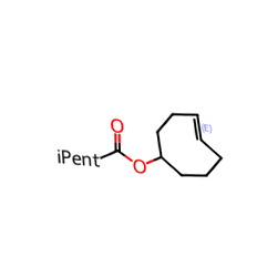 CCCC(C)C(=O)OC1CC/C=C/CCC1